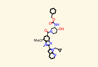 COc1cc(C(=O)N2CC[C@@H](O)[C@@H](NC(=O)OCc3ccccc3)C2)cc2nc(-c3cc4cccnc4n3CC3CC3)n(C)c12